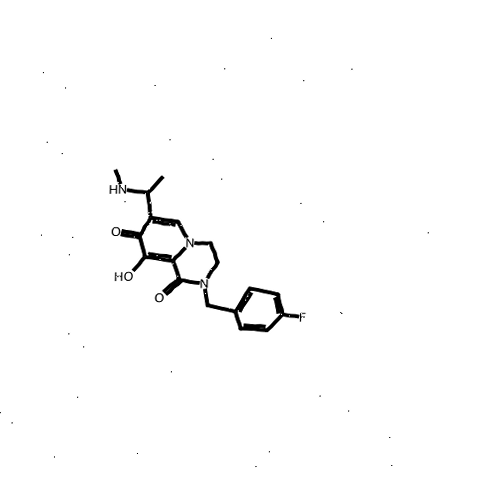 CNC(C)c1cn2c(c(O)c1=O)C(=O)N(Cc1ccc(F)cc1)CC2